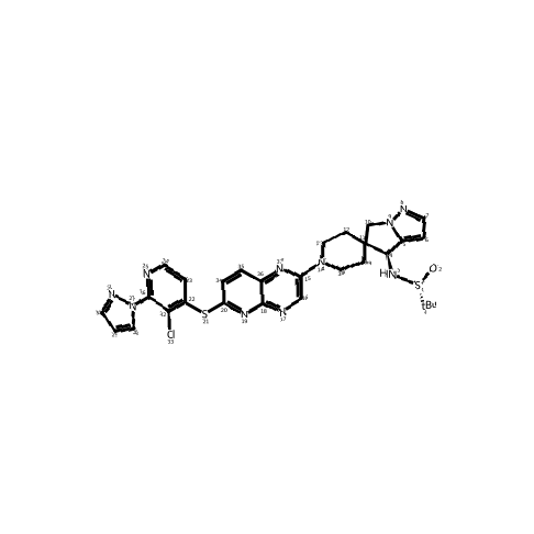 CC(C)(C)[S@@+]([O-])N[C@@H]1c2ccnn2CC12CCN(c1cnc3nc(Sc4ccnc(-n5cccn5)c4Cl)ccc3n1)CC2